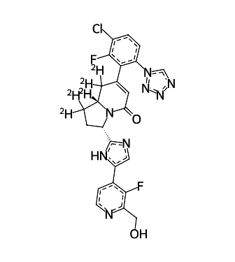 [2H]C1([2H])C[C@@H](c2ncc(-c3ccnc(CO)c3F)[nH]2)N2C(=O)C=C(c3c(-n4cnnn4)ccc(Cl)c3F)C([2H])([2H])[C@]21[2H]